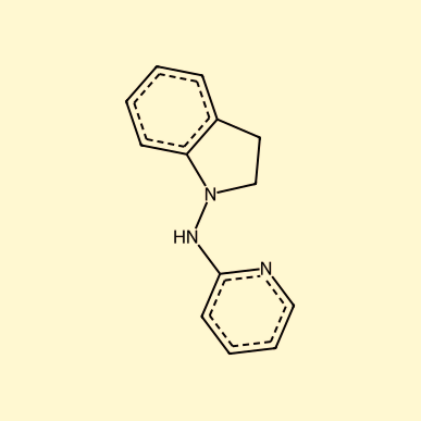 c1ccc(NN2CCc3ccccc32)nc1